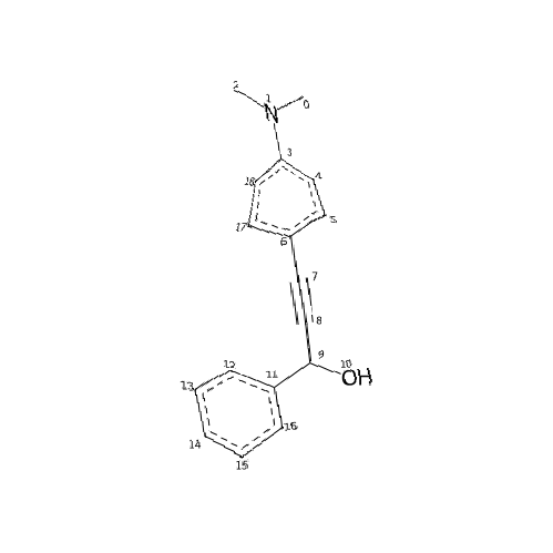 CN(C)c1ccc(C#CC(O)c2ccccc2)cc1